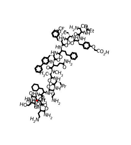 CCC(=O)NC(C(=O)N[C@@H](Cc1ccc(OCC(=O)O)cc1)C(=O)N[C@@H](CC(=O)O)C(=O)N[C@@H](Cc1cccc(C(F)(F)F)c1)C(=O)NC(CCc1ccccc1)C(=O)N[C@@H](Cc1ccc(-c2ccccc2)cc1)C(=O)NC(CCC(N)=O)C(=O)N(C)[C@@H](C)C(=O)N[C@H](CC(C)C)C(=O)N[C@@H](CCN)C(=O)NC(CC1CCCCC1)C(=O)NC(C(=O)NC(CO)C(=O)N[C@@H](CC)C(=O)NC(CCN)C(N)=O)C(C)(C)O)[C@@H](C)N